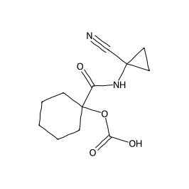 N#CC1(NC(=O)C2(OC(=O)O)CCCCC2)CC1